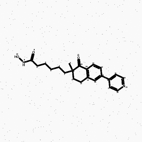 CC1(CCCCCC(=O)NO)CCc2cc(-c3ccncc3)ccc2C1=O